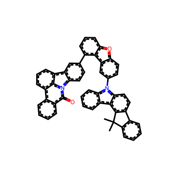 CC1(C)c2ccccc2-c2ccc3c(c21)c1ccccc1n3-c1ccc2oc3cccc(-c4ccc5c(c4)c4cccc6c7ccccc7c(=O)n5c64)c3c2c1